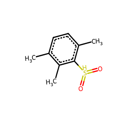 Cc1ccc(C)c([SH](=O)=O)c1C